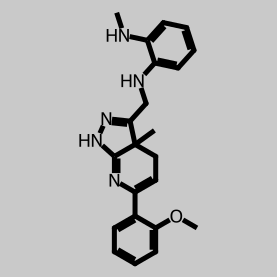 CNc1ccccc1NCC1=NNC2=NC(c3ccccc3OC)=CCC12C